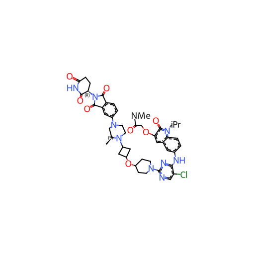 CNC(=O)COc1cc2cc(Nc3nc(N4CCC(OC5CC(N6CCN(c7ccc8c(c7)C(=O)N([C@@H]7CCC(=O)NC7=O)C8=O)C[C@@H]6C)C5)CC4)ncc3Cl)ccc2n(C(C)C)c1=O